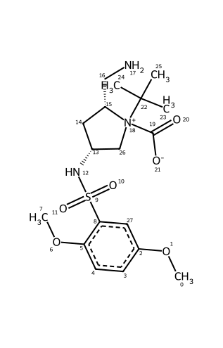 COc1ccc(OC)c(S(=O)(=O)N[C@@H]2C[C@H](CN)[N+](C(=O)[O-])(C(C)(C)C)C2)c1